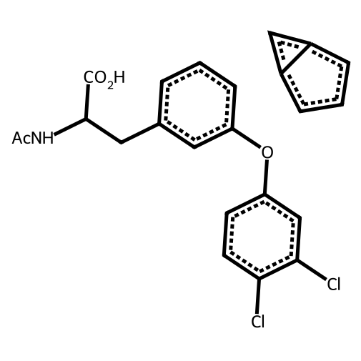 CC(=O)NC(Cc1cccc(Oc2ccc(Cl)c(Cl)c2)c1)C(=O)O.c1cc2cc-2c1